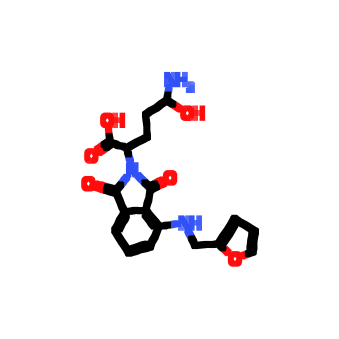 NC(O)CCC(C(=O)O)N1C(=O)c2cccc(NCc3ccco3)c2C1=O